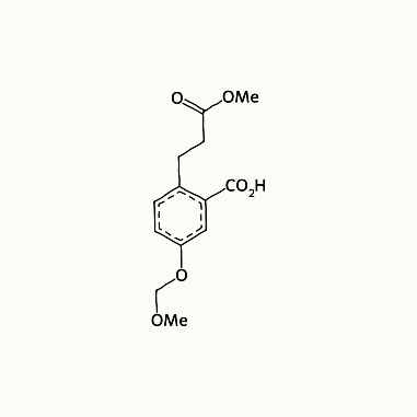 COCOc1ccc(CCC(=O)OC)c(C(=O)O)c1